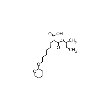 CCC(C)OC(=O)C(CCCCCCOC1CCCCO1)C(=O)O